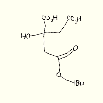 CCC(C)OC(=O)CC(O)(CC(=O)O)C(=O)O